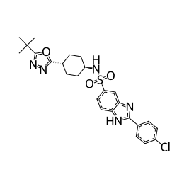 CC(C)(C)c1nnc([C@H]2CC[C@H](NS(=O)(=O)c3ccc4[nH]c(-c5ccc(Cl)cc5)nc4c3)CC2)o1